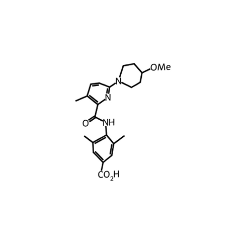 COC1CCN(c2ccc(C)c(C(=O)Nc3c(C)cc(C(=O)O)cc3C)n2)CC1